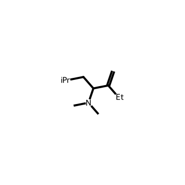 C=C(CC)C(CC(C)C)N(C)C